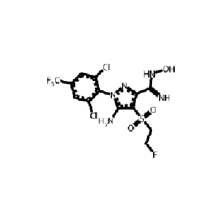 N=C(NO)c1nn(-c2c(Cl)cc(C(F)(F)F)cc2Cl)c(N)c1S(=O)(=O)CCF